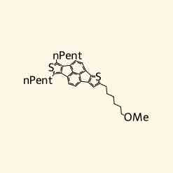 CCCCCc1sc(CCCCC)c2c1-c1ccc3c4c(ccc-2c14)-c1sc(CCCCCCOC)cc1-3